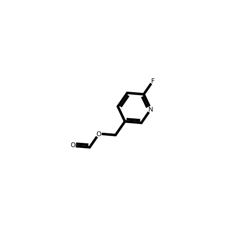 O=COCc1ccc(F)nc1